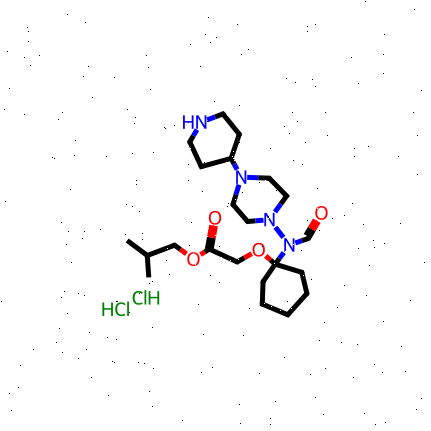 CC(C)COC(=O)COC1(N(C=O)N2CCN(C3CCNCC3)CC2)CCCCC1.Cl.Cl